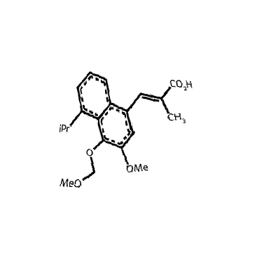 COCOc1c(OC)cc(C=C(C)C(=O)O)c2cccc(C(C)C)c12